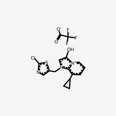 O=C([O-])C(F)(F)F.Oc1cn(Cc2cnc(Cl)s2)c2c(C3CC3)ccc[n+]12